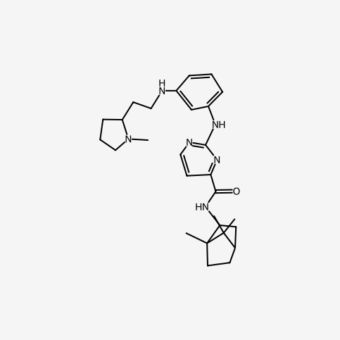 CN1CCCC1CCNc1cccc(Nc2nccc(C(=O)NC3CC4CCC3(C)C4(C)C)n2)c1